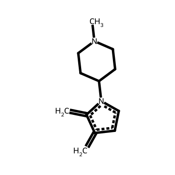 C=c1ccn(C2CCN(C)CC2)c1=C